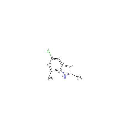 Cc1cc2cc(Cl)cc(C)c2[nH]1